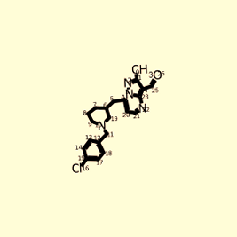 Cc1nn2c(CC3CCCN(Cc4ccc(Cl)cc4)C3)ccnc2c1C=O